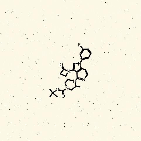 CC1CN(C(=O)OC(C)(C)C)CCN1c1nccc2c1c(N1CCC1=O)cn2-c1cccc(F)c1